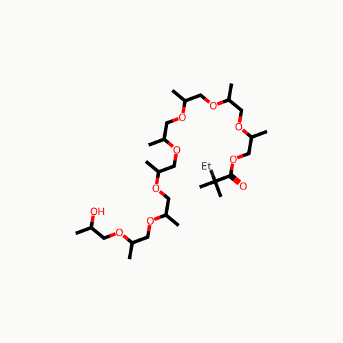 CCC(C)(C)C(=O)OCC(C)OCC(C)OCC(C)OCC(C)OCC(C)OCC(C)OCC(C)OCC(C)O